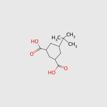 CC(C)(C)C1CC(C(=O)O)CC(C(=O)O)C1